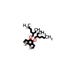 CCCCC(CC)COc1c2c(c3sccc3c1OCC(CC)CCCC)SCC2